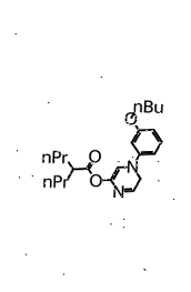 CCCCOc1cccc(N2C=C(OC(=O)C(CCC)CCC)N=CC2)c1